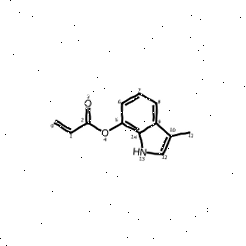 C=CC(=O)Oc1cccc2c(C)c[nH]c12